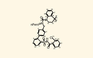 CCCCCN(Cc1ccc(-c2ccccc2S(=O)(=O)NC(=O)c2ccccc2Cl)cc1)C(=O)N1CCC(F)(F)c2ccccc21